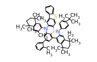 Cc1ccccc1-c1cc2c3c(c1)N(c1cc4c(cc1C)C(C)(C)CCC4(C)C)c1cc4c(cc1B3N(c1ccc(C(C)(C)C)cc1)c1cc3c(cc1-2)C(C)(C)CCC3(C)C)sc1ccccc14